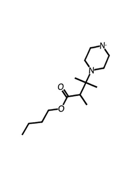 CCCCOC(=O)C(C)C(C)(C)N1CC[N]CC1